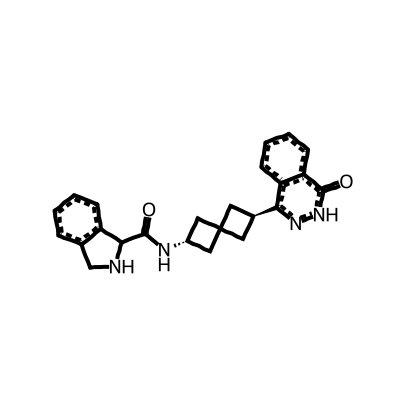 O=C(N[C@H]1CC2(C1)C[C@H](c1n[nH]c(=O)c3ccccc31)C2)C1NCc2ccccc21